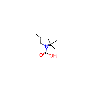 CCCN(C(=O)O)[Si](C)(C)C